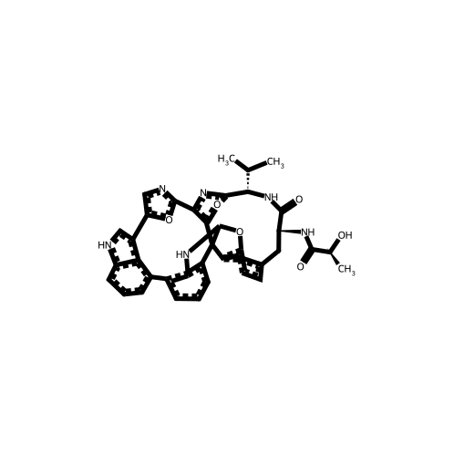 CC(C)[C@@H]1NC(=O)[C@@H](NC(=O)[C@H](C)O)Cc2ccc3c(c2)C24c5cccc(c5NC2O3)-c2cccc3[nH]cc(c23)-c2cnc(o2)-c2nc1oc24